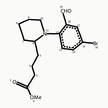 COC(=O)CCCC1CCCCN1c1ccc(Br)cc1C=O